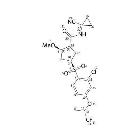 CO[C@@H]1C[C@H](S(=O)(=O)c2ccc(O[C@@H](C)C(F)(F)F)cc2Cl)C[C@H]1C(=O)NC1(C#N)CC1